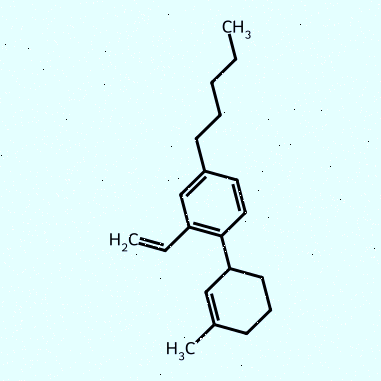 C=Cc1cc(CCCCC)ccc1C1C=C(C)CCC1